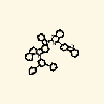 c1ccc(-c2cc(-c3ccccc3)cc(-n3c4ccc5c(c6ccccc6n5-c5nc(-c6ccc7c(c6)oc6ccccc67)c6ccccc6n5)c4c4ccc5ccccc5c43)c2)cc1